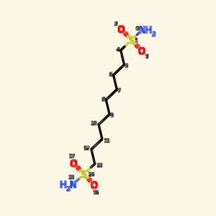 NS(=O)(=O)CCCCCCCCCCS(N)(=O)=O